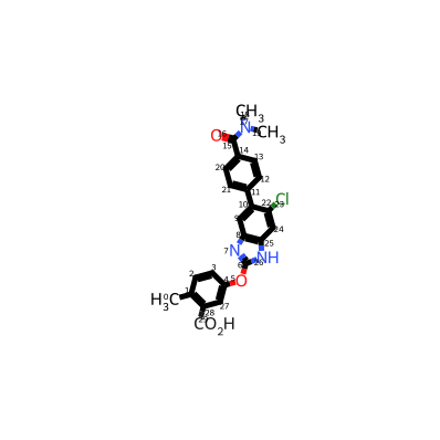 Cc1ccc(Oc2nc3cc(-c4ccc(C(=O)N(C)C)cc4)c(Cl)cc3[nH]2)cc1C(=O)O